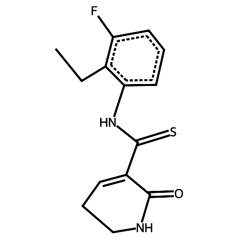 CCc1c(F)cccc1NC(=S)C1=CCCNC1=O